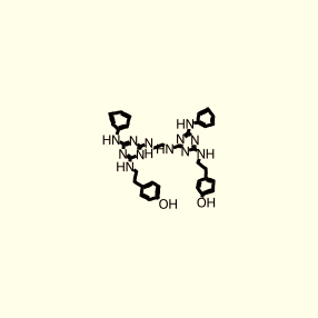 Oc1ccc(CCNc2nc(NCCNc3nc(NCCc4ccc(O)cc4)nc(Nc4ccccc4)n3)nc(Nc3ccccc3)n2)cc1